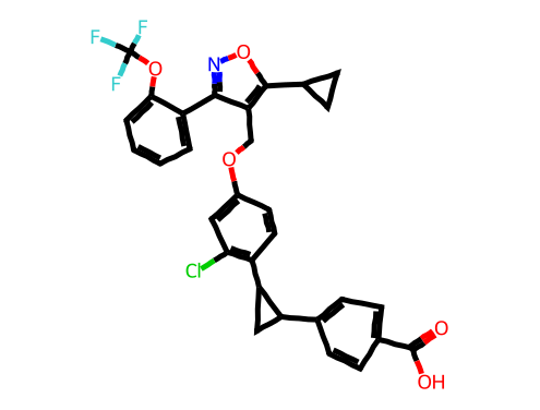 O=C(O)c1ccc(C2CC2c2ccc(OCc3c(-c4ccccc4OC(F)(F)F)noc3C3CC3)cc2Cl)cc1